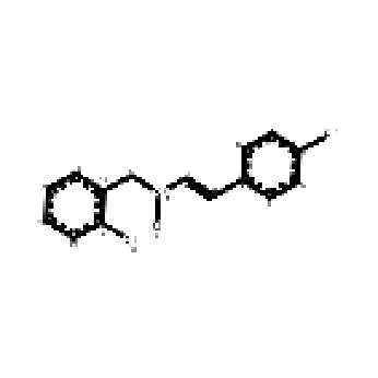 [O-][S+](C=Cc1ccc(F)cc1)Cc1ccccc1Cl